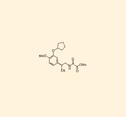 COC(=O)C(=O)NCC(C#N)c1ccc(OC)c(OC2CCCC2)c1